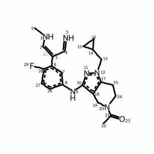 CN/C=C(\C=N)c1cc(Nc2nn(CC3CC3)c3c2CN(C(C)=O)CC3)ccc1F